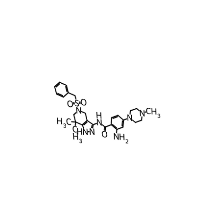 CN1CCN(c2ccc(C(=O)Nc3n[nH]c4c3CN(S(=O)(=O)Cc3ccccc3)CC4(C)C)c(N)c2)CC1